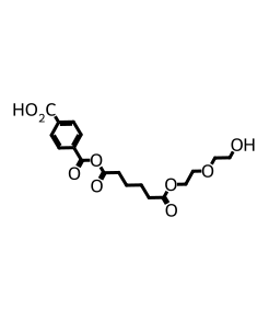 O=C(CCCCC(=O)OC(=O)c1ccc(C(=O)O)cc1)OCCOCCO